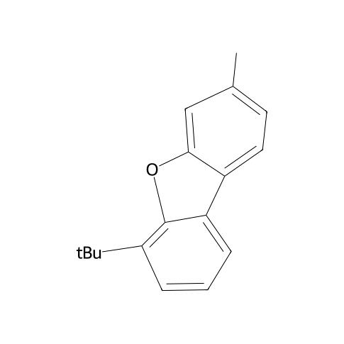 Cc1ccc2c(c1)oc1c(C(C)(C)C)cccc12